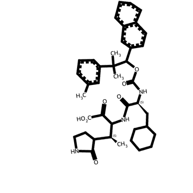 Cc1cccc(C(C)(C)C(OC(=O)N[C@@H](CC2CCCCC2)C(=O)NC(C(=O)C(=O)O)[C@@H](C)C2CCNC2=O)c2ccc3ccccc3c2)c1